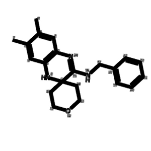 Cc1cc2c(cc1C)NC1(CCOCC1)C(NCc1ccccc1)=N2